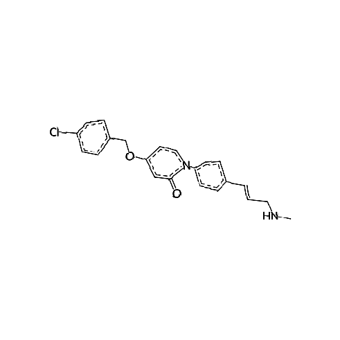 CNC/C=C/c1ccc(-n2ccc(OCc3ccc(Cl)cc3)cc2=O)cc1